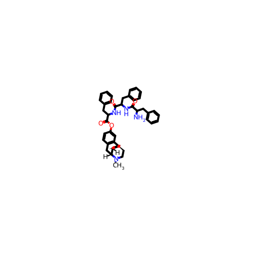 CN1CC[C@]23CCCC[C@H]2[C@H]1Cc1ccc(OC(=O)C(Cc2ccccc2)NC(=O)C(Cc2ccccc2)NC(=O)C(N)Cc2ccccc2)cc13